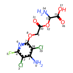 Nc1c(Cl)c(F)nc(OCC(=O)OC(N)C(=O)O)c1Cl